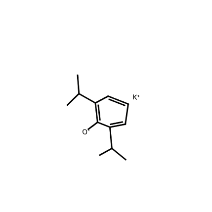 CC(C)c1cccc(C(C)C)c1[O-].[K+]